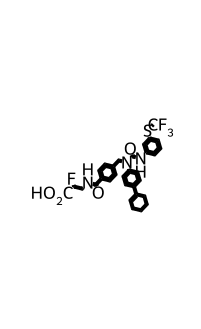 O=C(NCC(F)C(=O)O)c1ccc(CN(C(=O)Nc2cccc(SC(F)(F)F)c2)c2ccc(C3=CCCCC3)cc2)cc1